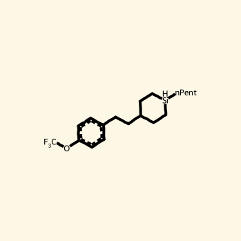 CCCCC[SiH]1CCC(CCc2ccc(OC(F)(F)F)cc2)CC1